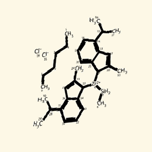 CCCCCC.C[SiH2][Zr+2]([CH]1C(C)=Cc2c(C(C)C)cccc21)[CH]1C(C)=Cc2c(C(C)C)cccc21.[Cl-].[Cl-]